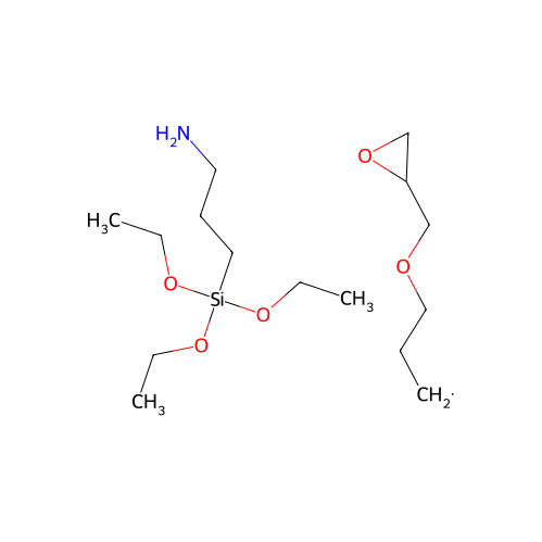 CCO[Si](CCCN)(OCC)OCC.[CH2]CCOCC1CO1